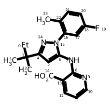 CCC(C)(C)c1cc(Nc2ncccc2C(=O)O)n(-c2cc(F)ccc2C)n1